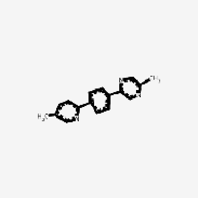 Cc1ccc(-c2ccc(-c3cnc(C)cn3)cc2)nc1